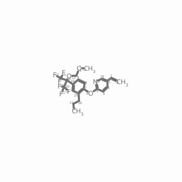 C=Cc1ccc(Oc2ccc(C(OCOC)(C(F)(F)F)C(F)(F)F)cc2CCC)nc1